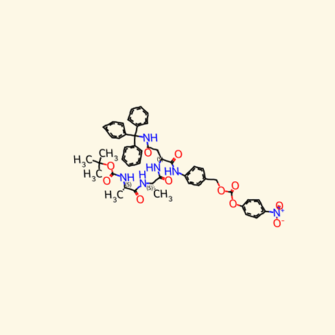 C[C@H](NC(=O)OC(C)(C)C)C(=O)N[C@@H](C)C(=O)N[C@@H](CC(=O)NC(c1ccccc1)(c1ccccc1)c1ccccc1)C(=O)Nc1ccc(COC(=O)Oc2ccc([N+](=O)[O-])cc2)cc1